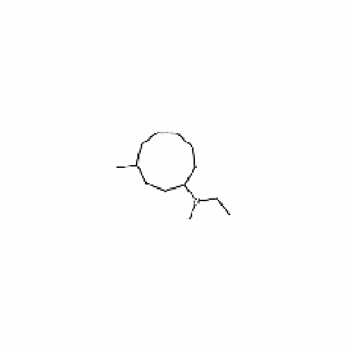 CCN(C)C1CCCCCC(C)CC1